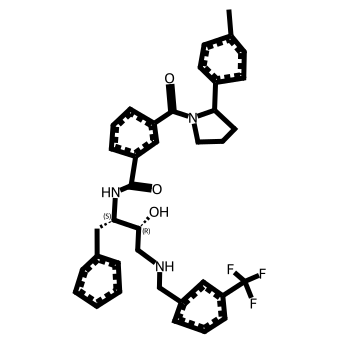 Cc1ccc(C2CCCN2C(=O)c2cccc(C(=O)N[C@@H](Cc3ccccc3)[C@H](O)CNCc3cccc(C(F)(F)F)c3)c2)cc1